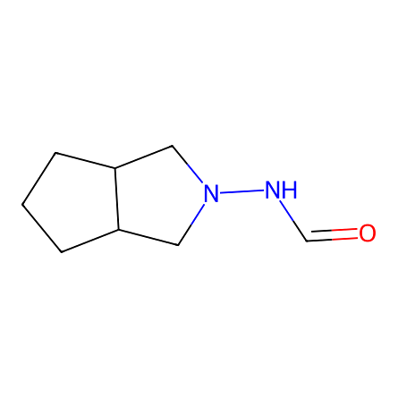 O=CNN1CC2CCCC2C1